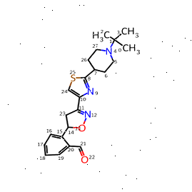 CC(C)(C)N1CCC(c2nc(C3=NOC(c4ccccc4C=O)C3)cs2)CC1